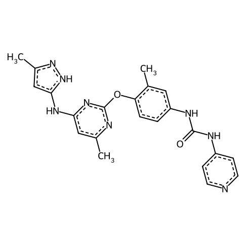 Cc1cc(Nc2cc(C)nc(Oc3ccc(NC(=O)Nc4ccncc4)cc3C)n2)[nH]n1